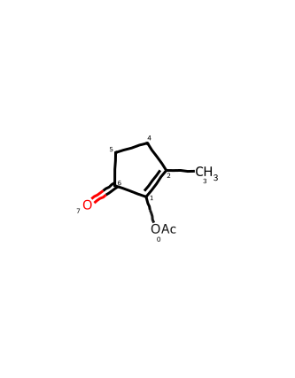 CC(=O)OC1=C(C)CCC1=O